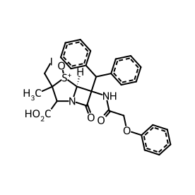 CC1(CI)C(C(=O)O)N2C(=O)C(NC(=O)COc3ccccc3)(C(c3ccccc3)c3ccccc3)[C@@H]2[S+]1[O-]